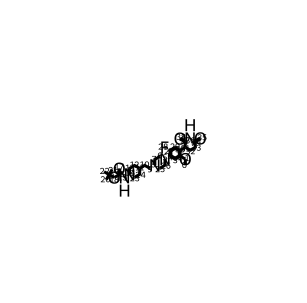 COc1cc(N2CCN(CCC3CCN(NC(=O)OC(C)(C)C)CC3)CC2)c(F)cc1C1CCC(=O)NC1=O